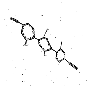 C#Cc1ccc(-c2cc(Br)c(-c3ccc(C#C)cc3Br)cc2Br)c(C)c1